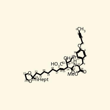 CC#CCOc1ccc(C[C@H](NC(=O)[C@@H](/C=C/CCCCCCC2(CCCCCCC)OCCO2)[C@@](O)(CC(C)C)C(=O)O)C(=O)OC)cc1